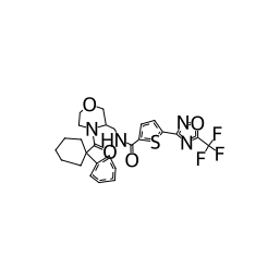 O=C(NCC1COCCN1C(=O)C1(c2ccccc2)CCCCC1)c1ccc(-c2noc(C(F)(F)F)n2)s1